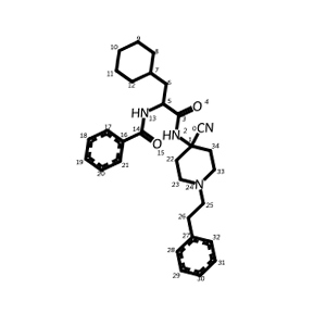 N#CC1(NC(=O)C(CC2CCCCC2)NC(=O)c2ccccc2)CCN(CCc2ccccc2)CC1